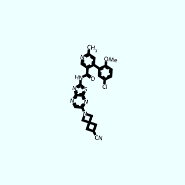 COc1ccc(Cl)cc1-c1cc(C)ncc1C(=O)Nc1nc2ncc(N3CC4(CC(C#N)C4)C3)nc2s1